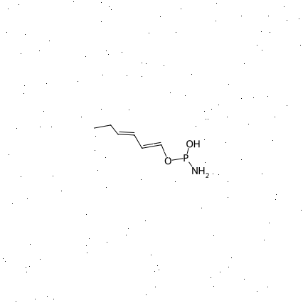 CCC=CC=COP(N)O